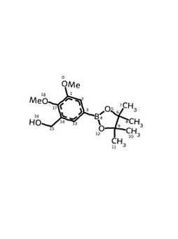 COc1cc(B2OC(C)(C)C(C)(C)O2)cc(CO)c1OC